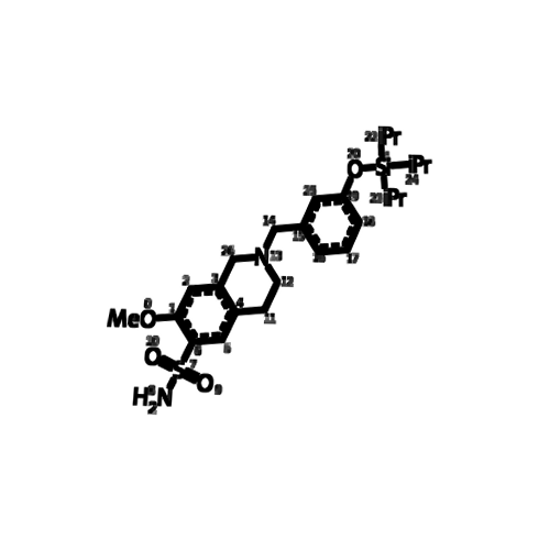 COc1cc2c(cc1S(N)(=O)=O)CCN(Cc1cccc(O[Si](C(C)C)(C(C)C)C(C)C)c1)C2